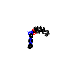 CC(C)(C)OC(=O)NC1CCC(N2CCN(c3ccccc3)CC2)CC1